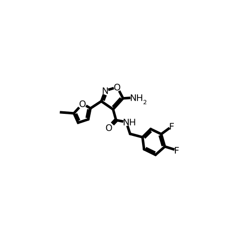 Cc1ccc(-c2noc(N)c2C(=O)NCc2ccc(F)c(F)c2)o1